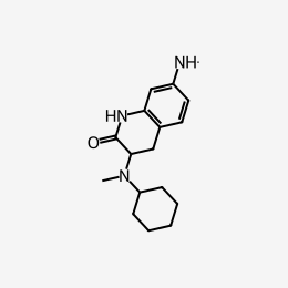 CN(C1CCCCC1)C1Cc2ccc([NH])cc2NC1=O